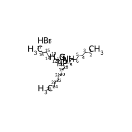 Br.CCCCCCCC[PH](CCCCCCCC)(CCCCCCCC)NC